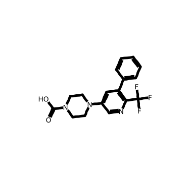 O=C(O)N1CCN(c2cnc(C(F)(F)F)c(-c3ccccc3)c2)CC1